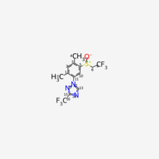 Cc1cc(C)c([S+]([O-])CC(F)(F)F)cc1-n1cnc(C(F)(F)F)n1